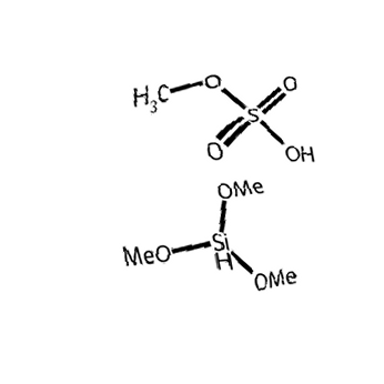 COS(=O)(=O)O.CO[SiH](OC)OC